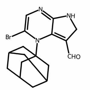 O=CC1=C2C(=NC=C(Br)N2C23CC4CC(CC(C4)C2)C3)NC1